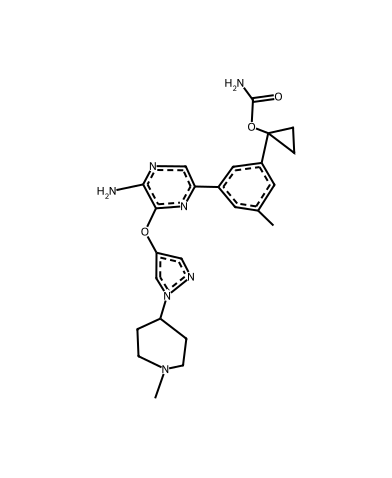 Cc1cc(-c2cnc(N)c(Oc3cnn(C4CCN(C)CC4)c3)n2)cc(C2(OC(N)=O)CC2)c1